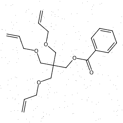 C=CCOCC(COCC=C)(COCC=C)COC(=O)c1ccccc1